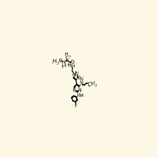 CCCNc1nc(Nc2cccc(F)c2)ncc1-c1cn(CCNC(=O)[C@H](C)NC)nn1